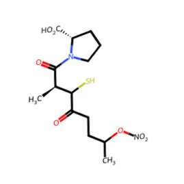 CC(CCC(=O)C(S)[C@@H](C)C(=O)N1CCC[C@H]1C(=O)O)O[N+](=O)[O-]